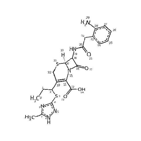 CCC(Sc1n[nH]c(C)n1)C1=C(C(=O)O)N2C(=O)C(NC(=O)Cc3ccccc3N)[C@@H]2SC1